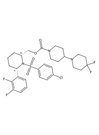 O=C(OC[C@H]1CCC[C@@H](c2cccc(F)c2F)N1S(=O)(=O)c1ccc(Cl)cc1)N1CCC(N2CCC(F)(F)CC2)CC1